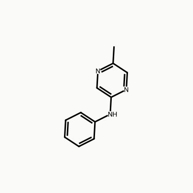 Cc1cnc(Nc2ccccc2)cn1